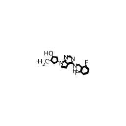 [CH2][C@H]1C[C@@H](n2ccc3c(NCc4c(F)cccc4F)ncnc32)C[C@@H]1O